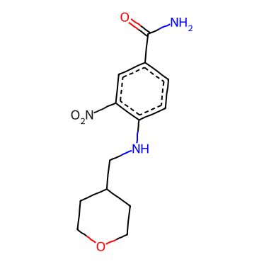 NC(=O)c1ccc(NCC2CCOCC2)c([N+](=O)[O-])c1